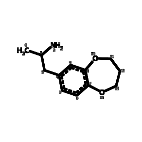 CC(N)Cc1ccc2c(c1)OCCCO2